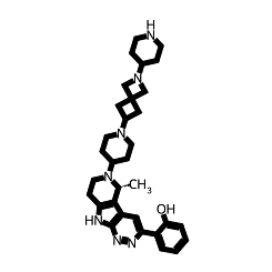 C[C@@H]1c2c([nH]c3nnc(-c4ccccc4O)cc23)CCN1C1CCN(C2CC3(C2)CN(C2CCNCC2)C3)CC1